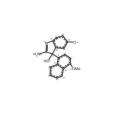 COc1ccc(C2(O)C(N)=Nc3ccc(Cl)cc32)c2ccccc12